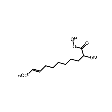 CCCCCCCCC=CCCCCCCC(C(=O)OO)C(C)(C)C